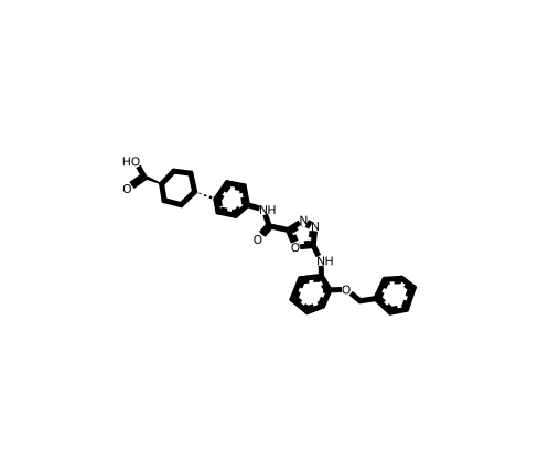 O=C(Nc1ccc([C@H]2CC[C@H](C(=O)O)CC2)cc1)c1nnc(Nc2ccccc2OCc2ccccc2)o1